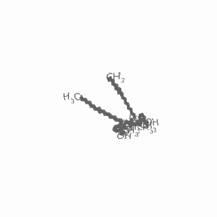 CCCCCCCCCCCCCCCCCCN1C(=CC2=C([O-])C(=CC3=[N+](CCCCCCCCCCCCCCCCCC)c4cccc(C(=O)O)c4C3(C)C)C2=O)C(C)(C)c2c(C(=O)O)cccc21